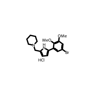 COc1cc(Br)cc(-c2ccc(CN3CCCCC3)[nH]2)c1OC.Cl